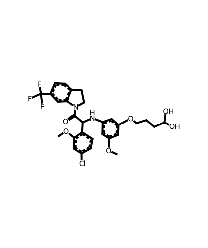 COc1cc(NC(C(=O)N2CCc3ccc(C(F)(F)F)cc32)c2ccc(Cl)cc2OC)cc(OCCCC(O)O)c1